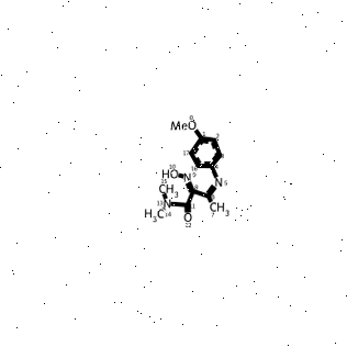 COc1ccc(N=C(C)C(=NO)C(=O)N(C)C)cc1